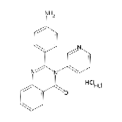 Cl.Cl.Nc1ccc(-c2nc3ccccc3c(=O)n2-c2cccnc2)cc1